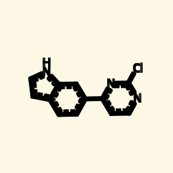 Clc1nccc(-c2ccc3cc[nH]c3c2)n1